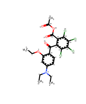 CCOc1cc(N(CC)CC)ccc1C(=O)c1c(Cl)c(Cl)c(Cl)c(Cl)c1C(=O)OC(C)=O